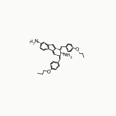 CCCOc1ccc(C=C2C=C3C(=Cc4cc(N)ccc43)C(=Cc3ccc(OCCC)cc3)C2N)cc1